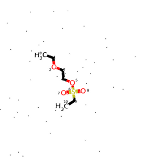 CCOCCOS(=O)(=O)CC